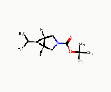 CC(C)[C@H]1[C@@H]2CN(C(=O)OC(C)(C)C)C[C@@H]21